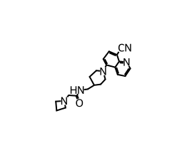 N#Cc1ccc(N2CCC(CNC(=O)CN3CCC3)CC2)c2cccnc12